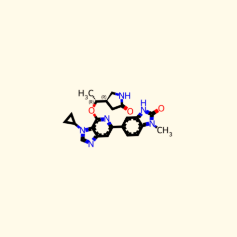 C[C@@H](Oc1nc(-c2ccc3c(c2)[nH]c(=O)n3C)cc2ncn(C3CC3)c12)[C@H]1CNC(=O)C1